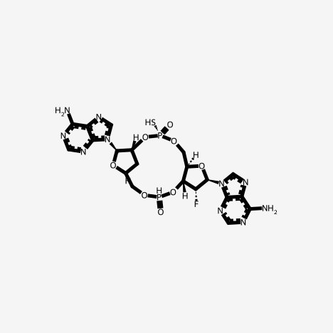 Nc1ncnc2c1ncn2[C@@H]1O[C@@H]2CO[P@@](=O)(S)O[C@@H]3C[C@@H](CO[PH](=O)O[C@H]2[C@H]1F)O[C@H]3n1cnc2c(N)ncnc21